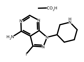 CC(=O)O.Nc1ncnc2c1c(I)nn2C1CCCNC1